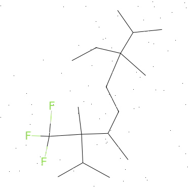 CCC(C)(CCC(C)C(C)(C(C)C)C(F)(F)F)C(C)C